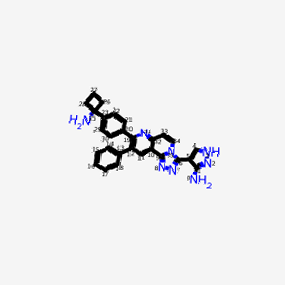 Nc1n[nH]cc1-c1nnc2c3cc(-c4ccccc4)c(-c4ccc(C5(N)CCC5)cc4)nc3ccn12